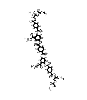 C=CC(=O)OCC(C)OC(=O)C1CCC(C(=O)Oc2ccc(OC(=O)C3CCC(C(=O)Oc4ccc(OC(=O)C5CCC(C(=O)OCC(C)OC(C)=O)CC5)c(C(=O)OC)c4)CC3)cc2C(=O)OC)CC1